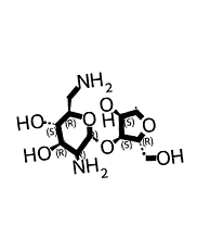 NC[C@H]1O[C@H](O[C@H]2[C@@H](O)[CH]O[C@@H]2CO)[C@H](N)[C@@H](O)[C@@H]1O